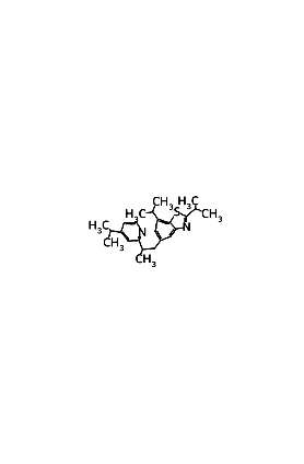 CC(C)c1ccnc(C(C)Cc2cc(C(C)C)c3sc(C(C)C)nc3c2)c1